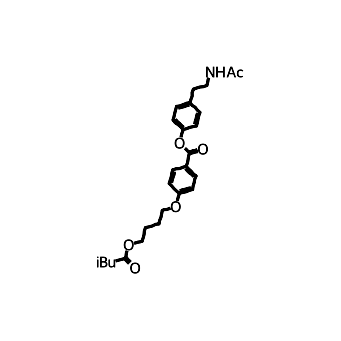 CCC(C)C(=O)OCCCCOc1ccc(C(=O)Oc2ccc(CCNC(C)=O)cc2)cc1